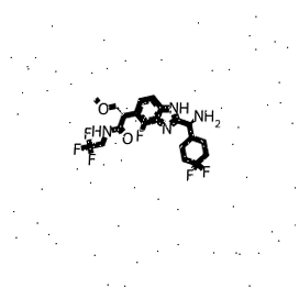 COC[C@@H](C(=O)NCC(F)(F)F)c1ccc2[nH]c([C@@H](N)C3CCC(F)(F)CC3)nc2c1F